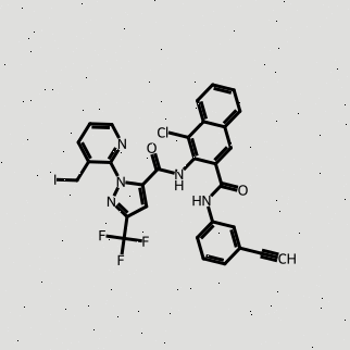 C#Cc1cccc(NC(=O)c2cc3ccccc3c(Cl)c2NC(=O)c2cc(C(F)(F)F)nn2-c2ncccc2CI)c1